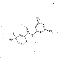 O=C(Nc1cc(C(F)(F)F)cc(C(F)(F)F)c1)C1=CC(O)(I)C=CC1